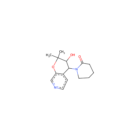 CC1(C)Oc2cnccc2C(N2CCCCC2=O)C1O